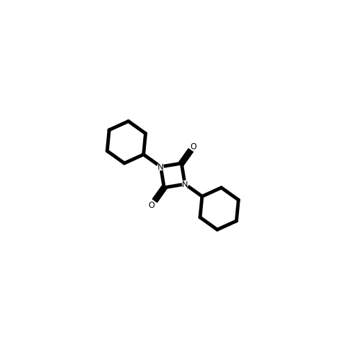 O=C1N(C2CCCCC2)C(=O)N1C1CCCCC1